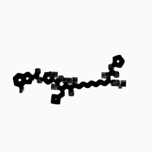 O=C(N[C@@H](CCCCCCCNC(=O)C(O)C(CC1CCC1)NC(=O)[C@@H]1C[C@@H](OC(=O)N2Cc3cccc(F)c3C2)CN1)C(=O)O)OC1CCCC1